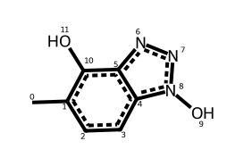 Cc1ccc2c(nnn2O)c1O